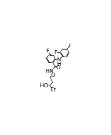 CCC(O)CCONC(=O)c1ccc(F)cc1Nc1ccc(I)cc1F